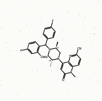 COc1cc(F)ccc1C(c1ccc(F)cc1)N1C[C@@H](C)N(c2cc(=O)n(C)c3ccc(C#N)nc23)C[C@@H]1C